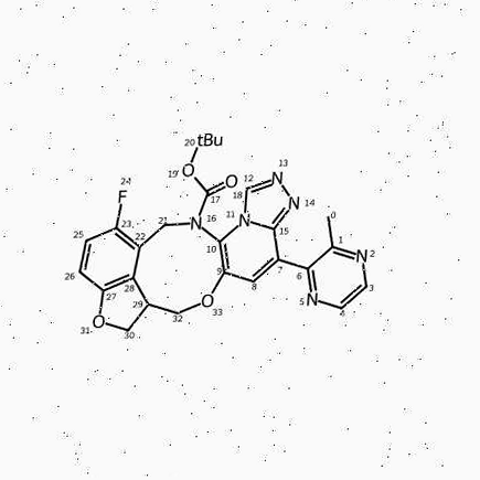 Cc1nccnc1-c1cc2c(n3cnnc13)N(C(=O)OC(C)(C)C)Cc1c(F)ccc3c1C(CO3)CO2